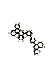 C1=Cc2c(-c3ccc(-c4cccc(-c5nc6c7ccccc7c7ccccc7c6c6ccccc56)c4)cc3)cc3cccnc3c2NC1